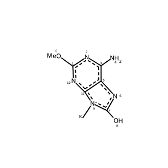 COc1nc(N)c2nc(O)n(C)c2n1